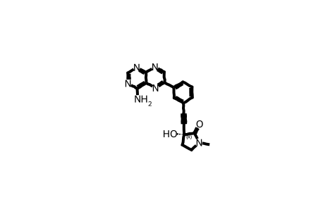 CN1CC[C@@](O)(C#Cc2cccc(-c3cnc4ncnc(N)c4n3)c2)C1=O